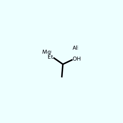 CCC(C)O.[Al].[Mg]